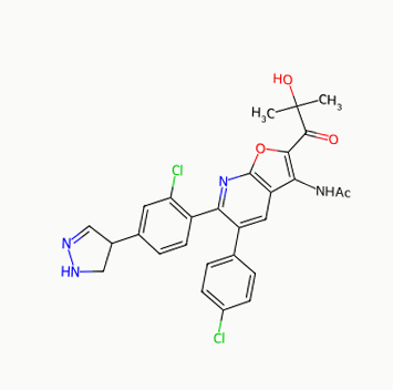 CC(=O)Nc1c(C(=O)C(C)(C)O)oc2nc(-c3ccc(C4C=NNC4)cc3Cl)c(-c3ccc(Cl)cc3)cc12